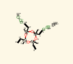 C=C[Si]1(C)O[Si](C)(C=C)O[Si](C)(C=C)O[Si](C)(C=C)O1.[Cl-].[Cl-].[Cl-].[Cl-].[Cl-].[Cl-].[H+].[H+].[Pt+4]